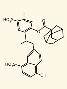 Cc1cc(OC(=O)C23CC4CC(CC(C4)C2)C3)c(C(C)Cc2ccc3c(O)ccc(S(=O)(=O)O)c3c2)cc1S(=O)(=O)O